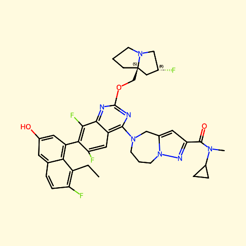 CCc1c(F)ccc2cc(O)cc(-c3c(F)cc4c(N5CCCn6nc(C(=O)N(C)C7CC7)cc6C5)nc(OC[C@@]56CCCN5C[C@H](F)C6)nc4c3F)c12